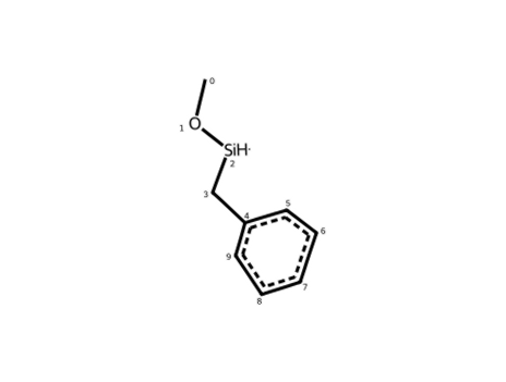 CO[SiH]Cc1ccccc1